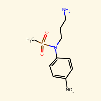 CS(=O)(=O)N(CCCN)c1ccc([N+](=O)[O-])cc1